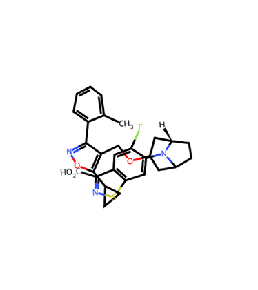 Cc1ccccc1-c1noc(C2CC2)c1COC1CC2CC[C@@H](C1)N2c1cc2snc(C(=O)O)c2cc1F